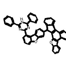 c1ccc(C2=NC(c3cccc4oc5cc(C6c7ccccc7-c7c6c6oc8ccccc8c6c6ccccc76)ccc5c34)=NC(c3ccccc3)N2)cc1